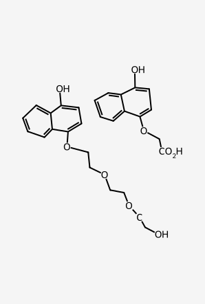 O=C(O)COc1ccc(O)c2ccccc12.OCCOCCOCCOc1ccc(O)c2ccccc12